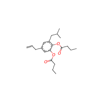 C=CCc1cc(CC(C)C)c(OC(=O)CCC)c(OC(=O)CCC)c1